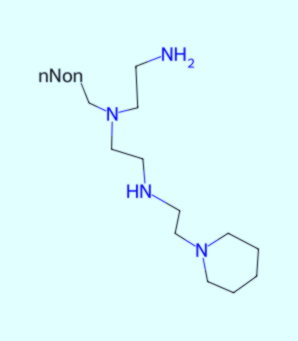 CCCCCCCCCCN(CCN)CCNCCN1CCCCC1